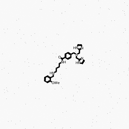 COc1ccccc1CNCCCCNC(=O)c1ccc(CN(Cc2ncc[nH]2)Cc2ncc[nH]2)cc1